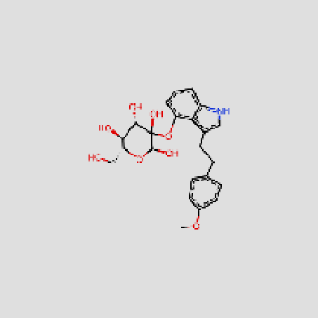 COc1ccc(CCc2c[nH]c3cccc(O[C@]4(O)[C@@H](O)O[C@H](CO)[C@@H](O)[C@@H]4O)c23)cc1